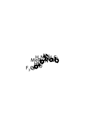 COc1cc(-c2nn(C3CCN(C4CCCCN4C)CC3)c3ncnc(N)c23)ccc1NC(=O)c1ccc(OC(F)(F)F)cc1